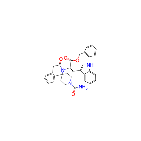 NC(=O)N1CCC2(CC1)c1ccccc1CC(=O)N2[C@H](Cc1c[nH]c2ccccc12)C(=O)OCc1ccccc1